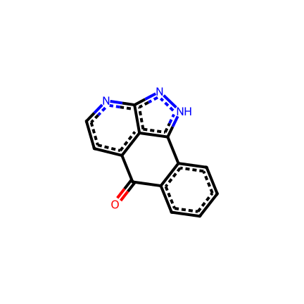 O=C1c2ccccc2-c2[nH]nc3nccc1c23